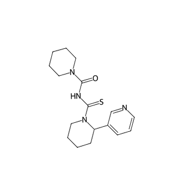 O=C(NC(=S)N1CCCCC1c1cccnc1)N1CCCCC1